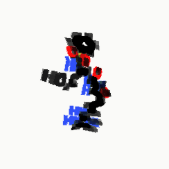 O=C(NCC(NS(=O)(=O)c1ccccc1)C(=O)O)C1=NOC(CCCNC2=NCCN2)C1